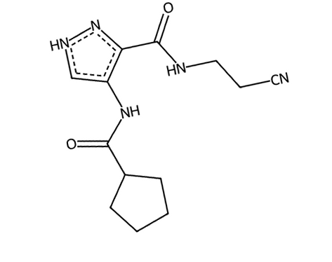 N#CCCNC(=O)c1n[nH]cc1NC(=O)C1CCCC1